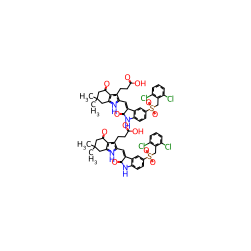 CC1(C)CC(=O)c2c([nH]c(C=C3C(=O)Nc4ccc(S(=O)(=O)Cc5c(Cl)cccc5Cl)cc43)c2CCC(=O)O)C1.CC1(C)CC(=O)c2c([nH]c(C=C3C(=O)Nc4ccc(S(=O)(=O)Cc5c(Cl)cccc5Cl)cc43)c2CCC(=O)O)C1